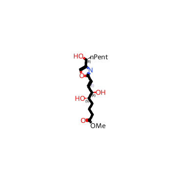 CCCCC[C@@H](O)c1coc(/C=C/[C@@H](O)[C@@H](O)CCCC(=O)OC)n1